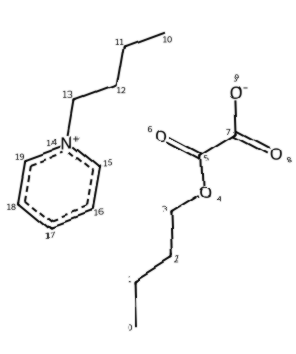 CCCCOC(=O)C(=O)[O-].CCCC[n+]1ccccc1